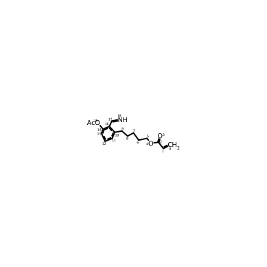 C=CC(=O)OCCCCCc1cccc(OC(C)=O)c1C=N